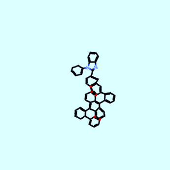 C1=CCCC(n2c(-c3ccc(-c4ccc5c(C6=CC=CCC6c6ccccc6)c6ccccc6c(-c6ccccc6-c6ccccc6)c5c4)cc3)nc3ccccc32)=C1